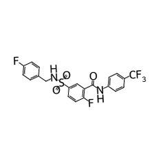 O=C(Nc1ccc(C(F)(F)F)cc1)c1cc(S(=O)(=O)NCc2ccc(F)cc2)ccc1F